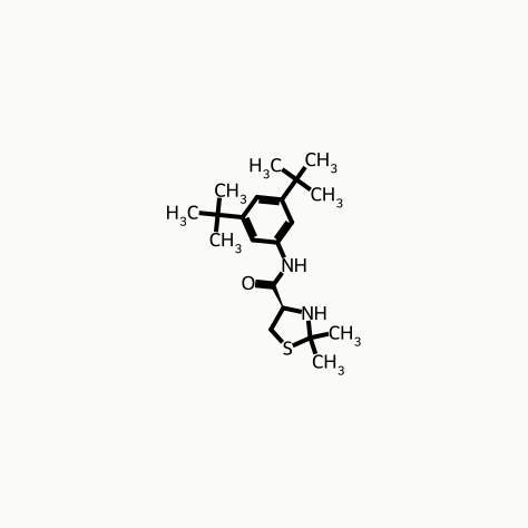 CC1(C)N[C@H](C(=O)Nc2cc(C(C)(C)C)cc(C(C)(C)C)c2)CS1